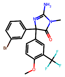 COc1ccc(C2(c3cccc(Br)c3)N=C(N)N(C)C2=O)cc1C(F)(F)F